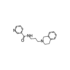 O=C(NCCCN1CCc2ccccc2C1)c1cccnc1